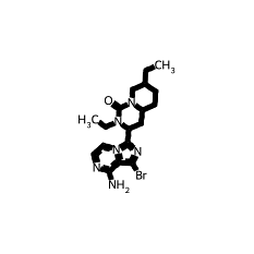 CCC1CCC2CC(c3nc(Br)c4c(N)nccn34)N(CC)C(=O)N2C1